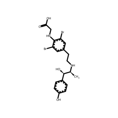 C[C@H](NCCc1cc(Br)c(NCC(=O)O)c(Br)c1)[C@H](O)c1ccc(O)cc1